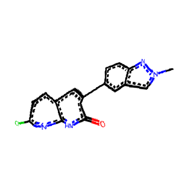 Cn1cc2cc(-c3cc4ccc(Cl)nc4[nH]c3=O)ccc2n1